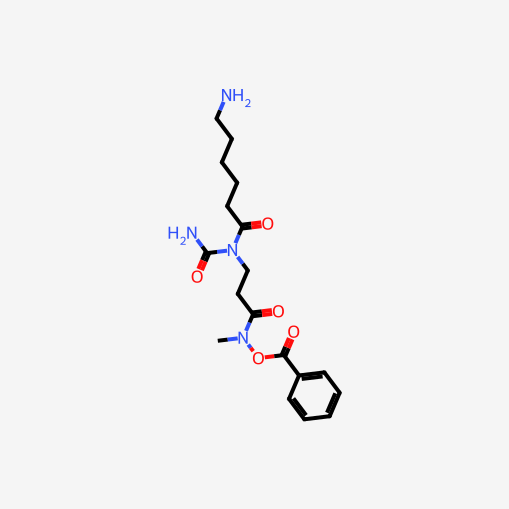 CN(OC(=O)c1ccccc1)C(=O)CCN(C(N)=O)C(=O)CCCCCN